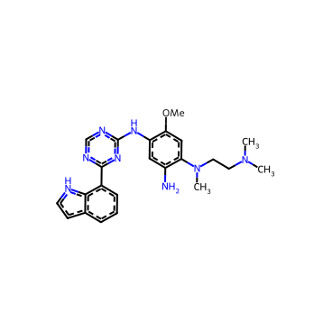 COc1cc(N(C)CCN(C)C)c(N)cc1Nc1ncnc(-c2cccc3cc[nH]c23)n1